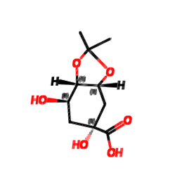 CC1(C)O[C@H]2[C@H](O)C[C@](O)(C(=O)O)C[C@H]2O1